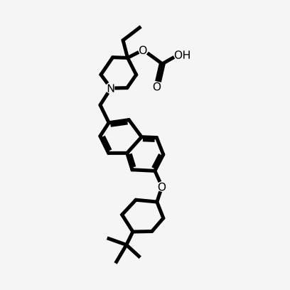 CCC1(OC(=O)O)CCN(Cc2ccc3cc(OC4CCC(C(C)(C)C)CC4)ccc3c2)CC1